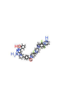 Nc1nnc(-c2ccccc2O)cc1N1CCC[C@H](c2ccc(C(=O)N3CCC(F)(CN4CCC(n5ccc6c(F)c(N7C=CCNC7)c(F)cc65)CC4)CC3)cc2)C1